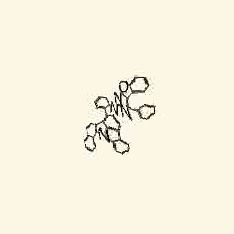 c1ccc(-c2nc(-n3c4ccccc4c4c5c6ccc7ccccc7c6n6c7ccccc7c(cc43)c56)nc3oc4ccccc4c23)cc1